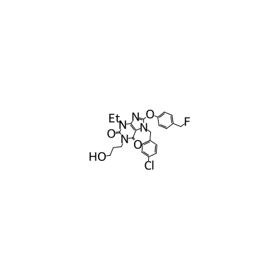 CCn1c(=O)n(CCCO)c(=O)c2c1nc(Oc1ccc(CF)cc1)n2Cc1ccc(Cl)cc1